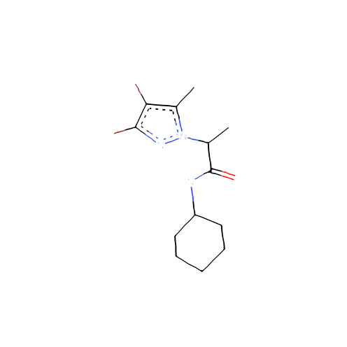 Cc1c(Br)c(Br)nn1C(C)C(=O)NC1CCCCC1